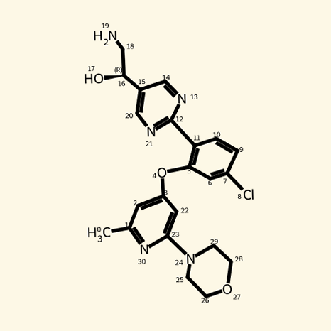 Cc1cc(Oc2cc(Cl)ccc2-c2ncc([C@@H](O)CN)cn2)cc(N2CCOCC2)n1